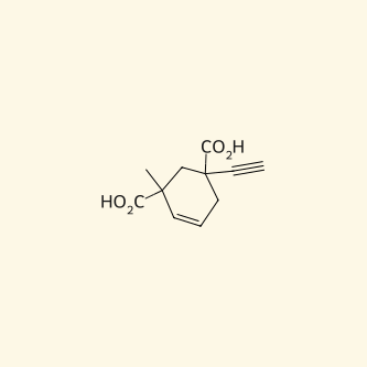 C#CC1(C(=O)O)CC=CC(C)(C(=O)O)C1